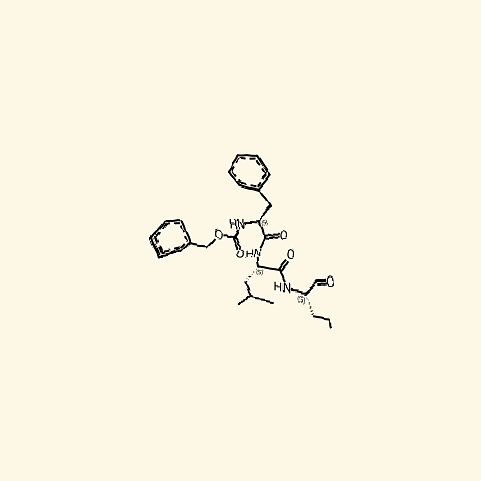 CCC[C@@H](C=O)NC(=O)[C@H](CC(C)C)NC(=O)[C@H](Cc1ccccc1)NC(=O)OCc1ccccc1